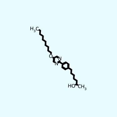 CCCCCCCCCCOc1cnc(-c2ccc(CCCCCC(C)O)cc2)nc1